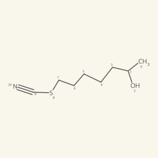 CC(O)CCCCCSC#N